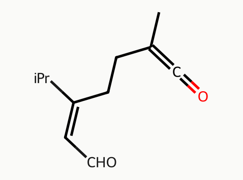 CC(=C=O)CCC(=CC=O)C(C)C